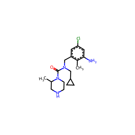 Cc1c(N)cc(Cl)cc1CN(CC1CC1)C(=O)N1CCNCC1C